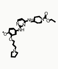 CCOC(=O)N1CCC(CNc2ccnc(Nc3ccc(OC)c(OCCCN4CCCC4)c3)n2)CC1